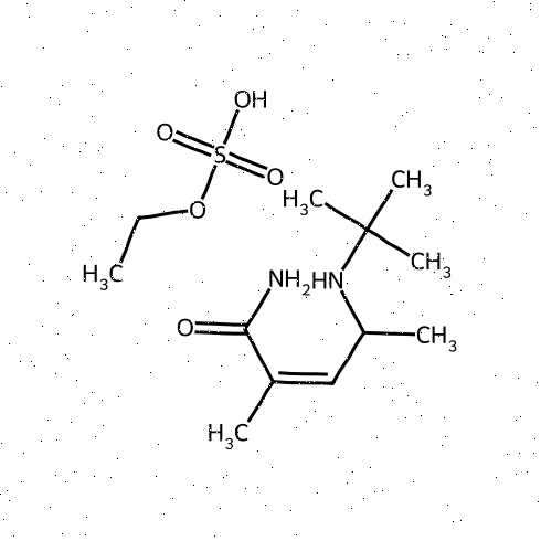 CC(=CC(C)NC(C)(C)C)C(N)=O.CCOS(=O)(=O)O